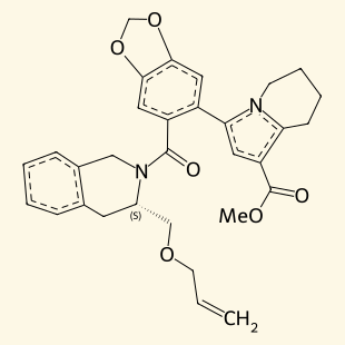 C=CCOC[C@@H]1Cc2ccccc2CN1C(=O)c1cc2c(cc1-c1cc(C(=O)OC)c3n1CCCC3)OCO2